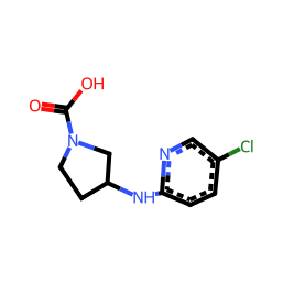 O=C(O)N1CCC(Nc2ccc(Cl)cn2)C1